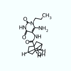 CCCn1c(N)c(NC(=O)C23CC4C[C@@H]2C[C@H](C3)[C@H]4O)c(=O)[nH]c1=O